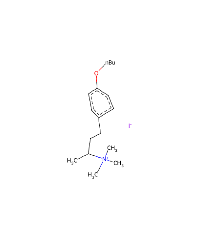 CCCCOc1ccc(CCC(C)[N+](C)(C)C)cc1.[I-]